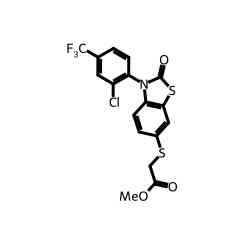 COC(=O)CSc1ccc2c(c1)sc(=O)n2-c1ccc(C(F)(F)F)cc1Cl